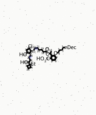 CCCCCCCCCCCCCCOc1cccc(C(=O)O)c1C(C)OC(=O)CCC/C=C\C[C@@H]1[C@@H](/C=C/C[C@H](O)C2(CC)CCC2)[C@H](O)C[C@H]1Cl